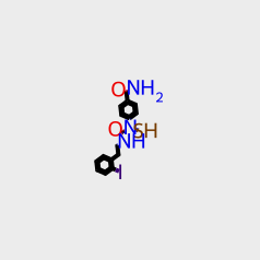 NC(=O)c1ccc(N(S)C(=O)NCCc2ccccc2I)cc1